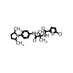 CC1CCC(C)N1c1ccc(NC(=O)C(C)(C)NC(=O)c2ccc(Cl)s2)cc1